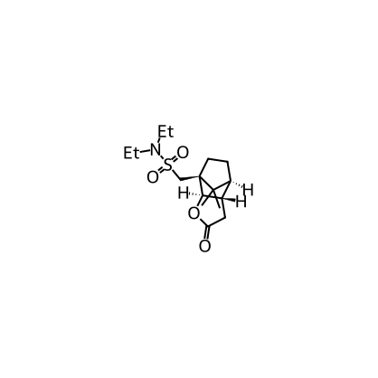 CCN(CC)S(=O)(=O)C[C@]12CC[C@@H]([C@@H]3CC(=O)O[C@H]31)C2(C)C